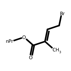 CCCOC(=O)C(C)=CCBr